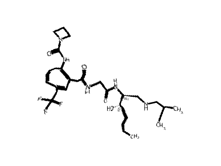 CCC[C@H](O)[C@H](CNCC(C)C)NC(=O)CNC(=O)c1cc(C(F)(F)F)ccc1NC(=O)N1CCC1